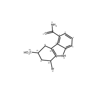 NC(=O)c1cccc2[nH]c3c(c12)CC(C(=O)O)CC3Br